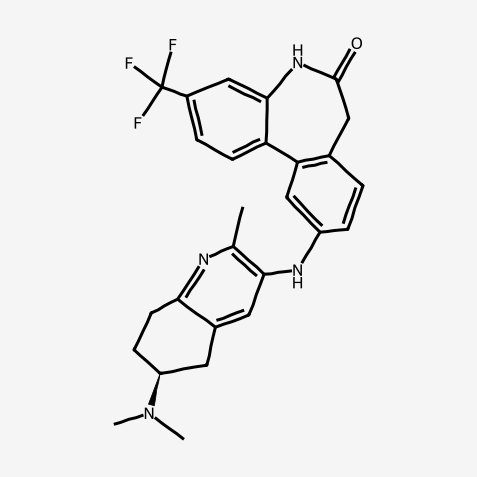 Cc1nc2c(cc1Nc1ccc3c(c1)-c1ccc(C(F)(F)F)cc1NC(=O)C3)C[C@@H](N(C)C)CC2